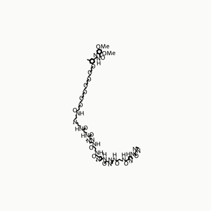 COc1cc(OC)c2c(=O)[nH]c(-c3cc(C)cc(OCCOCCOCCOCCOCCOCCOCCC(=O)NCCCN(C)CCCNC(=O)CCNC(=O)c4nc(NC(=O)CCNC(=O)c5cc(NC(=O)c6nc(NC(=O)CCNC(=O)c7cc(NC(=O)c8nccn8C)cn7C)cn6C)cn5C)cn4C)c3)nc2c1